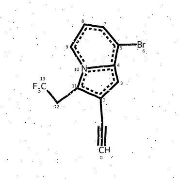 C#Cc1cc2c(Br)cccn2c1CC(F)(F)F